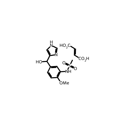 COc1ccc(C(O)c2c[nH]cn2)cc1NS(C)(=O)=O.O=C(O)C=CC(=O)O